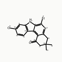 CCc1nc2c(c3c1[nH]c1cc(Cl)ccc13)C(=O)CC(C)(C)C2